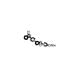 COC1CCN(c2nc3cc(N4CCC(c5n[nH]c6ccccc56)CC4)ccc3o2)CC1